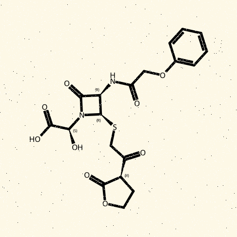 O=C(COc1ccccc1)N[C@@H]1C(=O)N([C@@H](O)C(=O)O)[C@@H]1SCC(=O)[C@H]1CCOC1=O